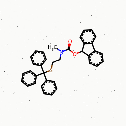 CN(CCSC(c1ccccc1)(c1ccccc1)c1ccccc1)C(=O)OC1c2ccccc2-c2ccccc21